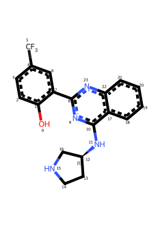 Oc1ccc(C(F)(F)F)cc1-c1nc(N[C@H]2CCNC2)c2ccccc2n1